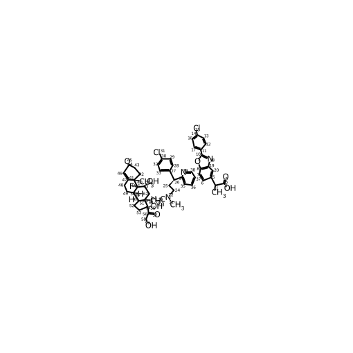 CC(C(=O)O)c1ccc2oc(-c3ccc(Cl)cc3)nc2c1.CN(C)CC[C@@H](c1ccc(Cl)cc1)c1ccccn1.C[C@]12CCC(=O)C=C1CC[C@H]1[C@@H]3CC[C@](O)(C(=O)CO)[C@@]3(C)C[C@H](O)[C@@]12F